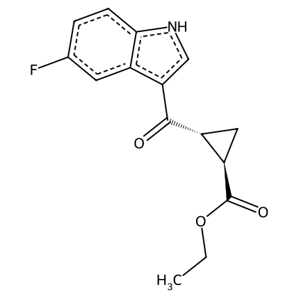 CCOC(=O)[C@@H]1C[C@H]1C(=O)c1c[nH]c2ccc(F)cc12